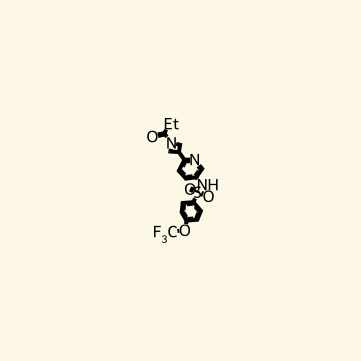 CCC(=O)N1CC(c2ccc(NS(=O)(=O)c3ccc(OC(F)(F)F)cc3)cn2)C1